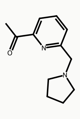 CC(=O)c1cccc(CN2CCCC2)n1